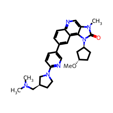 CO[C@H]1CC[C@H](n2c(=O)n(C)c3cnc4ccc(-c5ccc(N6CC[C@@H](CN(C)C)C6)nc5)cc4c32)C1